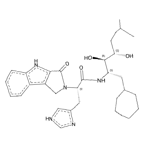 CC(C)C[C@H](O)[C@H](O)[C@H](CC1CCCCC1)NC(=O)[C@H](Cc1c[nH]cn1)N1Cc2c([nH]c3ccccc23)C1=O